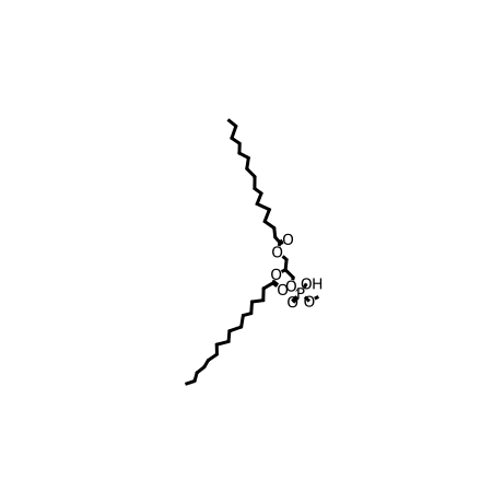 CCCCCCCCCCCCCCCC(=O)OCC(COP(=O)(O)OC)OC(=O)CCCCCCCCCCCCCCC